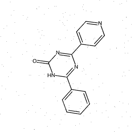 O=c1nc(-c2ccncc2)nc(-c2ccccc2)[nH]1